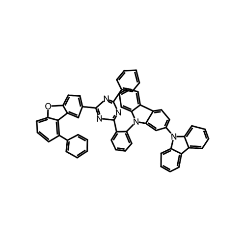 c1ccc(-c2nc(-c3ccc4oc5cccc(-c6ccccc6)c5c4c3)nc(-c3ccccc3-n3c4ccccc4c4ccc(-n5c6ccccc6c6ccccc65)cc43)n2)cc1